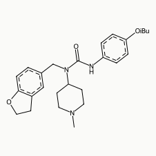 CC(C)COc1ccc(NC(=O)N(Cc2ccc3c(c2)CCO3)C2CCN(C)CC2)cc1